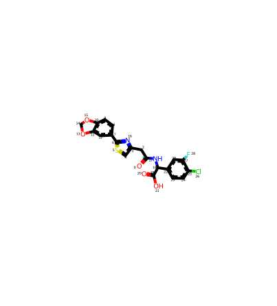 O=C(Cc1csc(-c2ccc3c(c2)OCO3)n1)NC(C(=O)O)c1ccc(Cl)c(F)c1